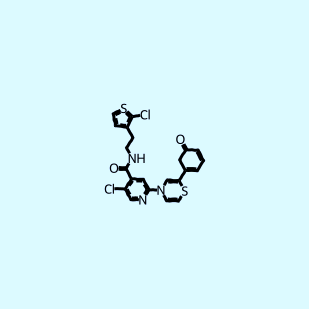 O=C1C=CC=C(C2=CN(c3cc(C(=O)NCCc4ccsc4Cl)c(Cl)cn3)C=CS2)C1